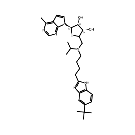 Cc1ncnc2c1ccn2[C@@H]1OC(CN(CCCCc2nc3cc(C(C)(C)C)ccc3[nH]2)C(C)C)[C@@H](O)[C@H]1O